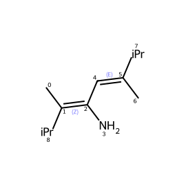 C/C(=C(N)\C=C(/C)C(C)C)C(C)C